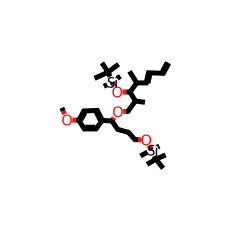 C=CC=CC(C)C(O[Si](C)(C)C(C)(C)C)C(C)COC(CCCO[Si](C)(C)C(C)(C)C)c1ccc(OC)cc1